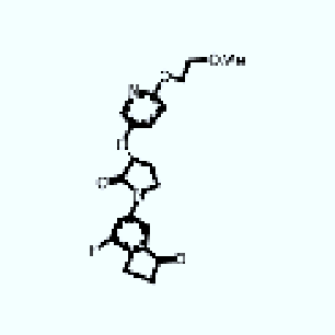 COCCOc1ccc(O[C@@H]2CCN(c3cc(F)c4c(c3)C(=O)CC4)C2=O)cn1